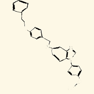 COc1ccc(-n2cnc3cc(NCc4ccc(OCCc5ccccc5)cc4)ccc32)cc1